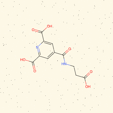 O=C(O)CCNC(=O)c1cc(C(=O)O)nc(C(=O)O)c1